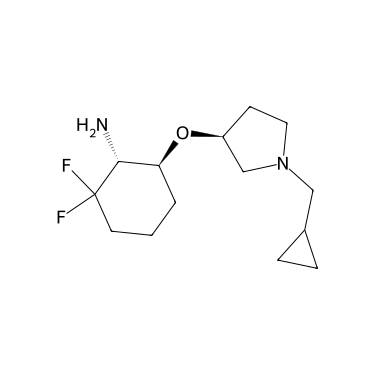 N[C@@H]1[C@@H](O[C@H]2CCN(CC3CC3)C2)CCCC1(F)F